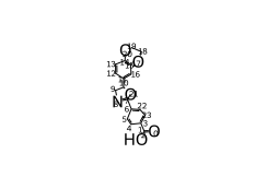 O=C(O)c1ccc(C2=NCC(c3ccc4c(c3)OCCO4)O2)cc1